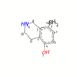 Bc1ccc(O)c2c1CNCC2